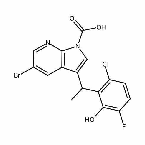 CC(c1c(Cl)ccc(F)c1O)c1cn(C(=O)O)c2ncc(Br)cc12